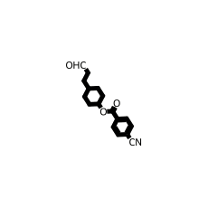 N#Cc1ccc(C(=O)OC2CCC(CCC=O)CC2)cc1